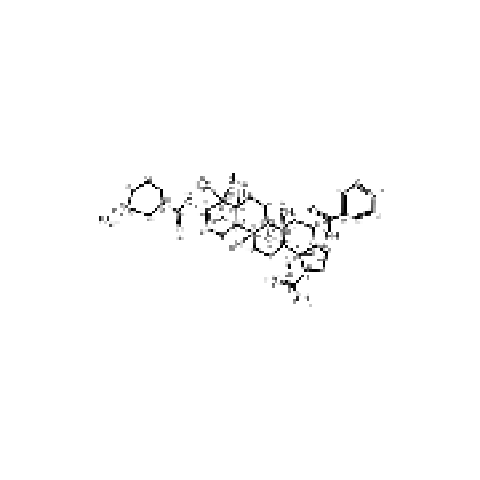 C=C(C)[C@@H]1CC[C@]2(NC(=O)c3ccncc3)CC[C@]3(C)[C@H](CC[C@@H]4[C@@]5(C)CC[C@H](OC(=O)[C@H]6CCC[C@@H](C(=O)O)C6)C(C)(C)[C@@H]5CC[C@]43C)[C@@H]12